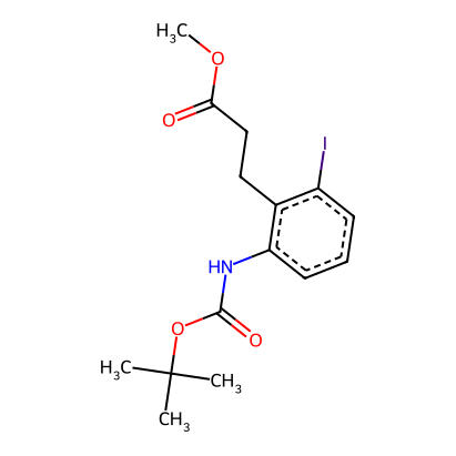 COC(=O)CCc1c(I)cccc1NC(=O)OC(C)(C)C